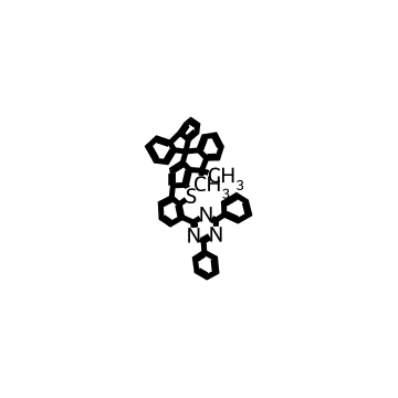 CC1(C)c2ccccc2C2(c3ccccc3-c3ccccc32)c2ccc3c(sc4c(-c5nc(-c6ccccc6)nc(-c6ccccc6)n5)cccc43)c21